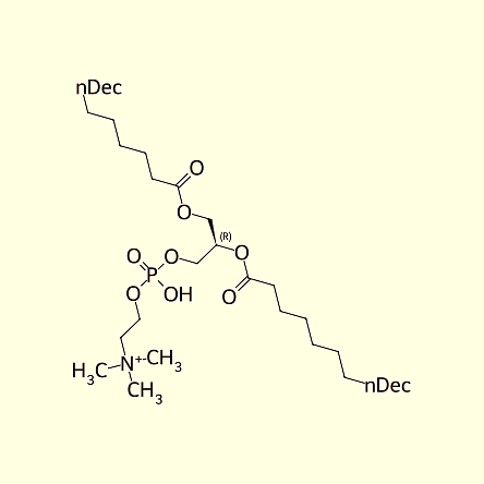 CCCCCCCCCCCCCCCCC(=O)O[C@H](COC(=O)CCCCCCCCCCCCCCC)COP(=O)(O)OCC[N+](C)(C)C